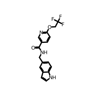 O=C(NCc1ccc2[nH]ccc2c1)c1ccc(OCC(F)(F)F)nc1